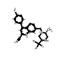 C[C@H]1CNC(C(F)(F)F)CN1Cc1ccc2c(-c3ccc(F)cc3)cc(C#N)nc2c1